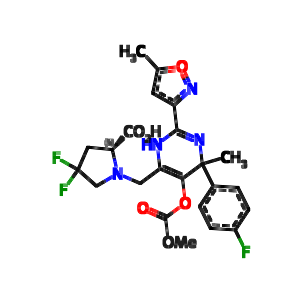 COC(=O)OC1=C(CN2CC(F)(F)C[C@H]2C(=O)O)NC(c2cc(C)on2)=NC1(C)c1ccc(F)cc1